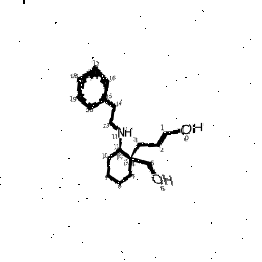 OCCC[C@@]1(CO)CCCC[C@H]1NCCc1ccccc1